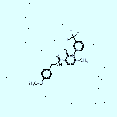 COc1ccc(CNC(=O)c2ccc(C)n(-c3cccc(C(F)(F)F)c3)c2=O)cc1